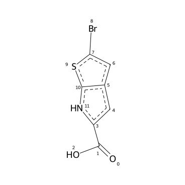 O=C(O)c1cc2cc(Br)sc2[nH]1